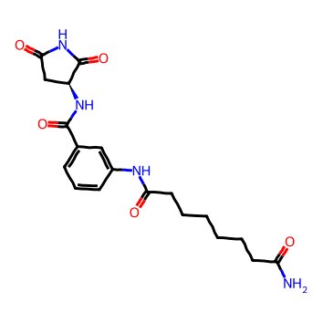 NC(=O)CCCCCCC(=O)Nc1cccc(C(=O)N[C@H]2CC(=O)NC2=O)c1